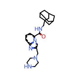 O=C(NCC12CC3CC(CC(C3)C1)C2)c1cccc2nc(CN3CCNCC3)cn12